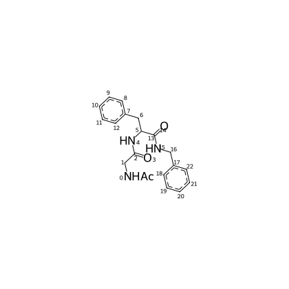 CC(=O)NCC(=O)NC(Cc1ccccc1)C(=O)NCc1ccccc1